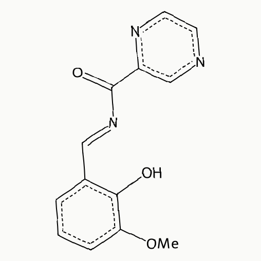 COc1cccc(C=NC(=O)c2cnccn2)c1O